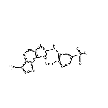 CCS(=O)(=O)c1ccc(OC)c(Nc2nc3c(ccc4c3ncn4C)s2)c1